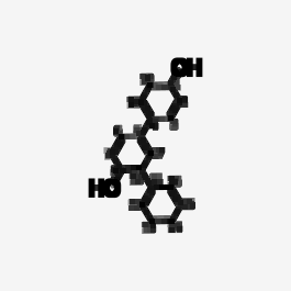 Oc1ccc(-c2ccc(O)c(-c3ccccc3)c2)cc1